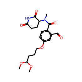 COC(CCCOc1ccc(C(=O)N(C)C2CCC(=O)NC2=O)c(C=O)c1)OC